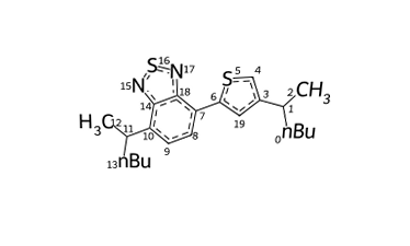 CCCCC(C)c1csc(-c2ccc(C(C)CCCC)c3nsnc23)c1